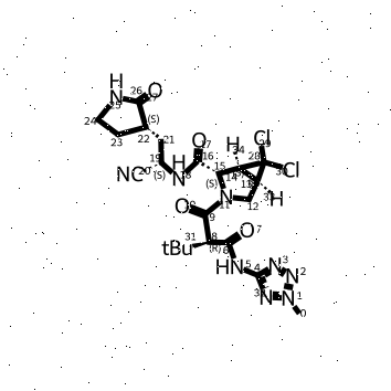 Cn1nnc(NC(=O)[C@H](C(=O)N2C[C@H]3[C@@H]([C@H]2C(=O)N[C@H](C#N)C[C@@H]2CCNC2=O)C3(Cl)Cl)C(C)(C)C)n1